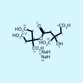 O=C(O)CC(O)(CC(=O)OC(CC(=O)O)(CC(=O)O)C(=O)O)C(=O)O.[NaH].[NaH]